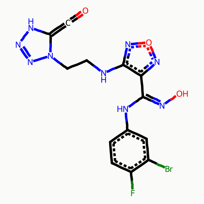 O=C=C1NN=NN1CCNc1nonc1C(=NO)Nc1ccc(F)c(Br)c1